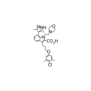 Cc1cc(OCCCc2c(C(=O)O)n(CCN3CCOCC3)c3c(-c4c(C)n[nH]c4C)cccc23)cc(C)c1Cl